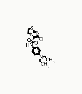 CCN(CC)c1ccc(NS(=O)(=O)c2c(Cl)nc3n2CCS3)cc1